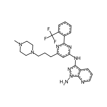 CN1CCN(CCCc2cc(Nc3nn(N)c4ncccc34)nc(-c3ccccc3C(F)(F)F)n2)CC1